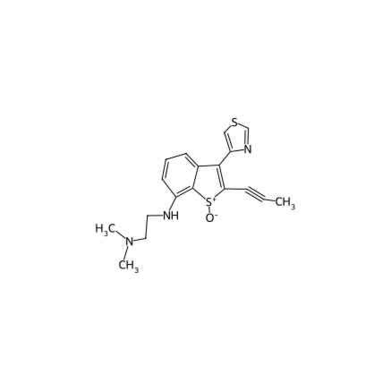 CC#Cc1c(-c2cscn2)c2cccc(NCCN(C)C)c2[s+]1[O-]